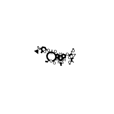 CC[C@H]1CCC[C@H](O[C@H]2CC[C@H](N(C)C3CC3)C(C)O2)[C@@H](C)C(=O)C2=C[C@H]3[C@@H]4C[C@H](OC(OC(C)[C@@H](C)OC)[C@H](COC)OC)C[C@H]4c4sc(C)nc4[C@H]3[C@@H]2CC(=O)O1